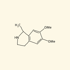 COc1cc2c(cc1OC)C(C)NCC2